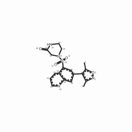 Cc1noc(C)c1-c1cc(S(=O)(=O)N2CCNC(=O)C2)c2cccnc2c1